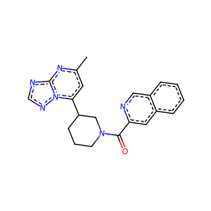 Cc1cc(C2CCCN(C(=O)c3cc4ccccc4cn3)C2)n2ncnc2n1